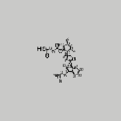 Cc1cc(C)c(C(C)(C)CC(=O)n2cc(CCN(C)C)c3ccccc32)c(OC(=O)CCC(=O)O)c1